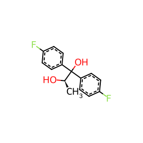 C[C@@H](O)C(O)(c1ccc(F)cc1)c1ccc(F)cc1